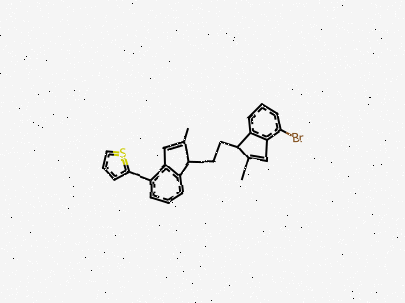 CC1=Cc2c(Br)cccc2C1CCC1C(C)=Cc2c(-c3cccs3)cccc21